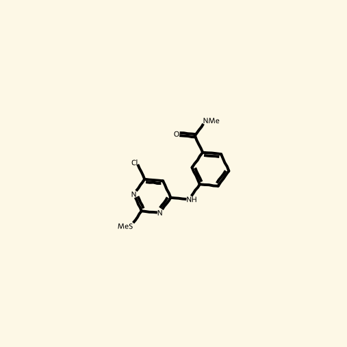 CNC(=O)c1cccc(Nc2cc(Cl)nc(SC)n2)c1